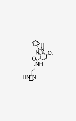 COc1ccc(C(=O)NCCCc2ncc[nH]2)c2nc(-c3cccs3)[nH]c12